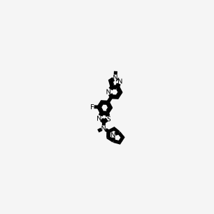 CN(c1nc2c(F)cc(-c3ccc4nn(C)cc4n3)cc2s1)C1CC2CCC(C1)N2